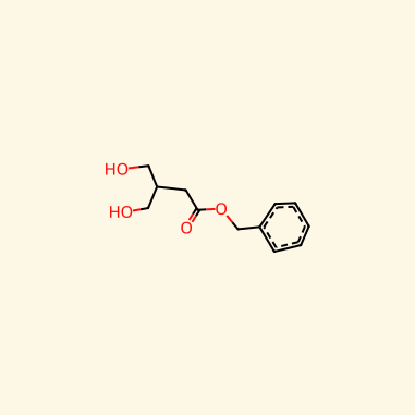 O=C(CC(CO)CO)OCc1ccccc1